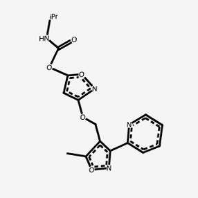 Cc1onc(-c2ccccn2)c1COc1cc(OC(=O)NC(C)C)on1